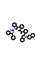 C=C(C(=C)c1ccccc1-c1cc2ccccc2n1-c1ccc2ccccc2c1)c1ccccc1-c1cn(-c2nc(-c3ccccc3)c3ccccc3n2)c2ccccc12